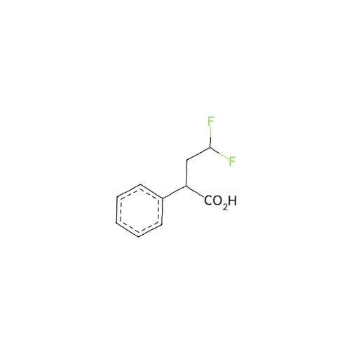 O=C(O)C(CC(F)F)c1ccccc1